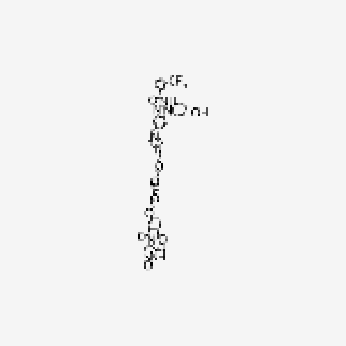 O=C1CCC(N2C(=O)c3ccc(OCCOCCOCCOCCN4CCN(Cc5ccc6c(c5)nc(NC(=O)c5cccc(C(F)(F)F)c5)n6[C@H]5CC[C@@H](CO)CC5)CC4)cc3C2=O)C(=O)N1